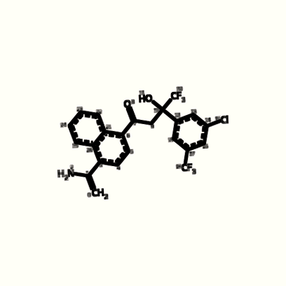 C=C(N)c1ccc(C(=O)CC(O)(c2cc(Cl)cc(C(F)(F)F)c2)C(F)(F)F)c2ccccc12